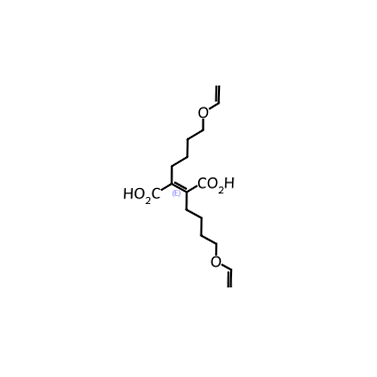 C=COCCCC/C(C(=O)O)=C(/CCCCOC=C)C(=O)O